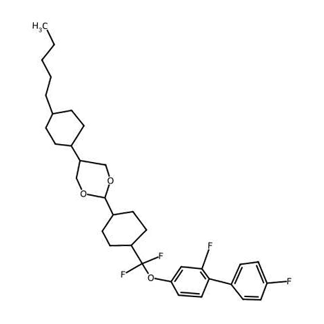 CCCCCC1CCC(C2COC(C3CCC(C(F)(F)Oc4ccc(-c5ccc(F)cc5)c(F)c4)CC3)OC2)CC1